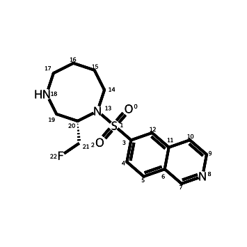 O=S(=O)(c1ccc2cnccc2c1)N1CCCCNC[C@H]1CF